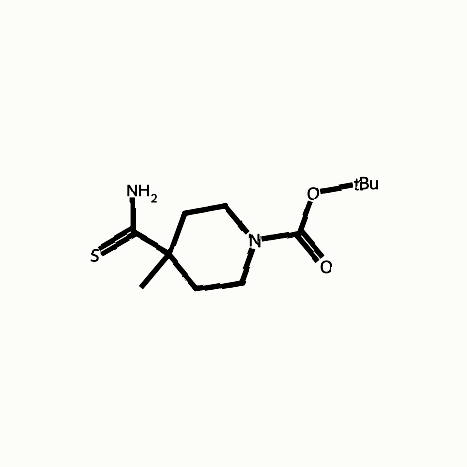 CC(C)(C)OC(=O)N1CCC(C)(C(N)=S)CC1